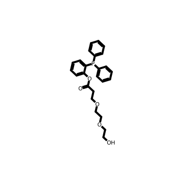 O=C(CCOCCOCCO)Oc1ccccc1P(c1ccccc1)c1ccccc1